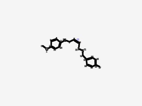 COc1ccc(SC/C=C\SSCc2ccc(C)cc2)cc1